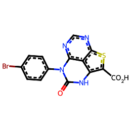 O=C(O)c1sc2ncnc3c2c1NC(=O)N3c1ccc(Br)cc1